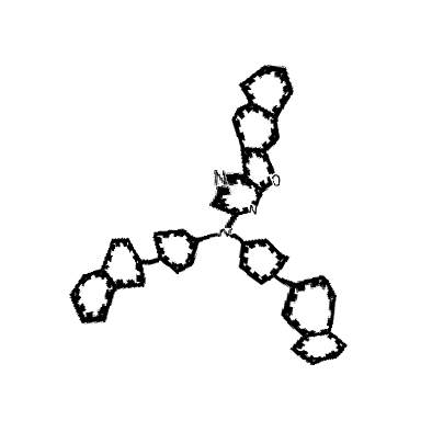 c1ccc2cc(-c3ccc(N(c4ccc(-c5ccc6ccccc6c5)cc4)c4cnc5c(n4)oc4cc6ccccc6cc45)cc3)ccc2c1